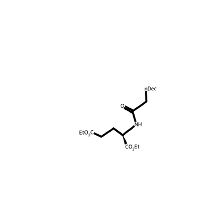 CCCCCCCCCCCC(=O)N[C@H](CCC(=O)OCC)C(=O)OCC